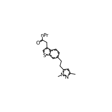 CCCC(=O)Cc1csc2cc(CCc3cc(C)nn3C)ccc12